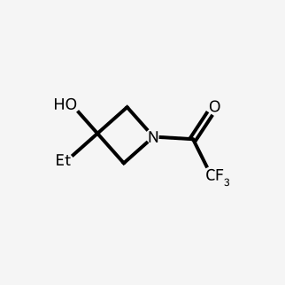 CCC1(O)CN(C(=O)C(F)(F)F)C1